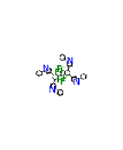 FC(F)(F)C(c1cc(-c2ccnc(-c3ccccc3)c2)cc(-c2ccnc(-c3ccccc3)c2)c1)(c1cc(-c2ccnc(-c3ccccc3)c2)cc(-c2ccnc(-c3ccccc3)c2)c1)C(F)(F)F